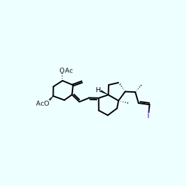 C=C1/C(=C\C=C2/CCC[C@]3(C)[C@@H]([C@H](C)/C=C/I)CC[C@@H]23)C[C@@H](OC(C)=O)C[C@@H]1OC(C)=O